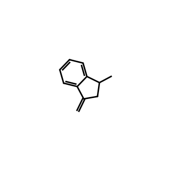 C=C1CC(C)c2ccccc21